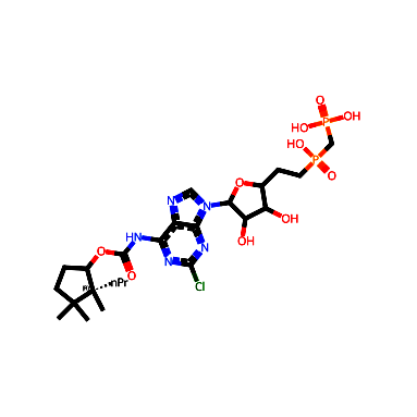 CCC[C@@]1(C)C(OC(=O)Nc2nc(Cl)nc3c2ncn3C2OC(CCP(=O)(O)CP(=O)(O)O)C(O)C2O)CCC1(C)C